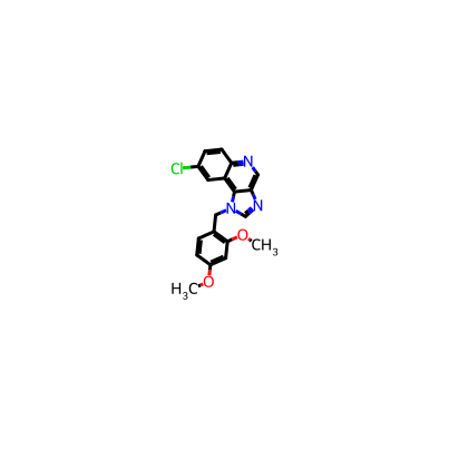 COc1ccc(Cn2cnc3cnc4ccc(Cl)cc4c32)c(OC)c1